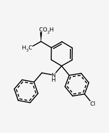 C[C@@H](C(=O)O)C1=CC=CC(NCc2ccccc2)(c2ccc(Cl)cc2)C1